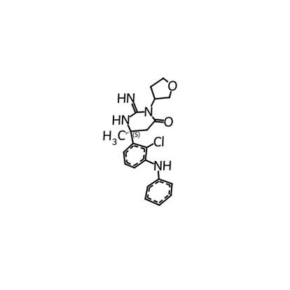 C[C@@]1(c2cccc(Nc3ccccc3)c2Cl)CC(=O)N(C2CCOC2)C(=N)N1